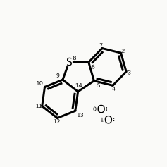 [O].[O].c1ccc2c(c1)sc1ccccc12